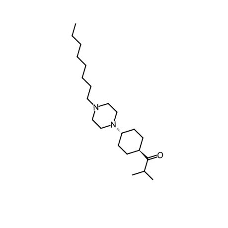 CCCCCCCCN1CCN([C@H]2CC[C@H](C(=O)C(C)C)CC2)CC1